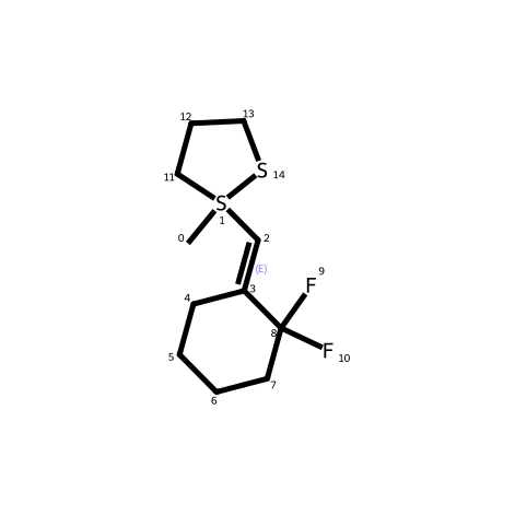 CS1(/C=C2\CCCCC2(F)F)CCCS1